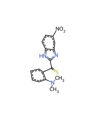 CN(C)c1ccccc1C(=S)c1nc2cc([N+](=O)[O-])ccc2[nH]1